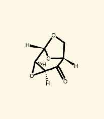 O=C1[C@H]2O[C@H]2[C@@H]2OC[C@H]1O2